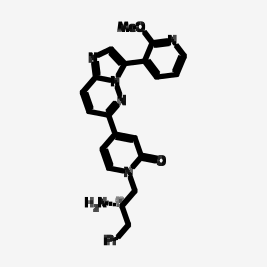 COc1ncccc1-c1cnc2ccc(-c3ccn(C[C@@H](N)CC(C)C)c(=O)c3)nn12